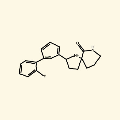 O=C1NCCCC12CCC(c1cccc(-c3ccccc3F)c1)N2